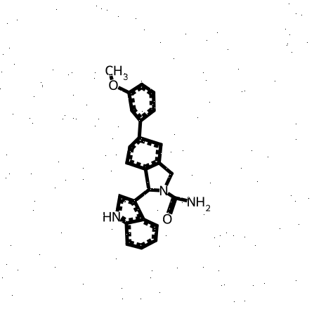 COc1cccc(-c2ccc3c(c2)CN(C(N)=O)C3c2c[nH]c3ccccc23)c1